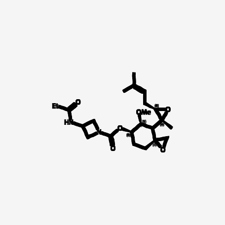 CCC(=O)NC1CN(C(=O)O[C@@H]2CC[C@]3(CO3)C([C@@]3(C)O[C@@H]3CC=C(C)C)[C@@H]2OC)C1